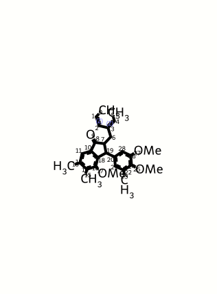 C/C=C\C(=C/C)CC1C(=O)c2cc(C)c(C)c(OC)c2C1c1cc(C)c(OC)c(OC)c1